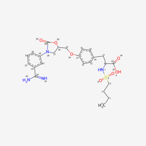 CCCCS(=O)(=O)NC(Cc1ccc(OCC2CN(c3cccc(C(=N)N)c3)C(=O)O2)cc1)C(=O)O